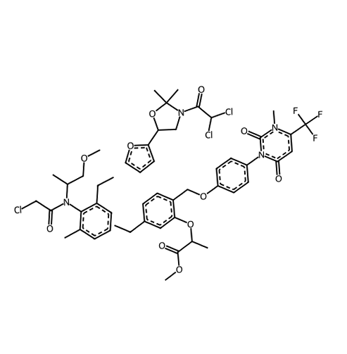 CC1(C)OC(c2ccco2)CN1C(=O)C(Cl)Cl.CCc1ccc(COc2ccc(-n3c(=O)cc(C(F)(F)F)n(C)c3=O)cc2)c(OC(C)C(=O)OC)c1.CCc1cccc(C)c1N(C(=O)CCl)C(C)COC